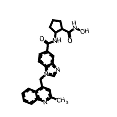 Cc1cc(Cn2cnc3cc(C(=O)NC4CCCC4C(=O)NO)ccc32)c2ccccc2n1